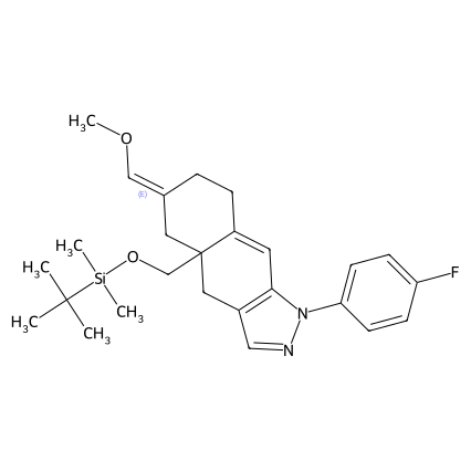 CO/C=C1\CCC2=Cc3c(cnn3-c3ccc(F)cc3)CC2(CO[Si](C)(C)C(C)(C)C)C1